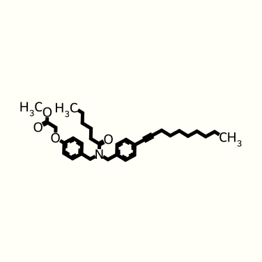 CCCCCCCCC#Cc1ccc(CN(Cc2ccc(OCC(=O)OC)cc2)C(=O)CCCCC)cc1